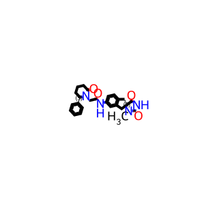 CN1C(=O)NC(=O)[C@@]12Cc1ccc(NC(=O)CN3C(=O)CCC[C@H]3c3ccccc3)cc1C2